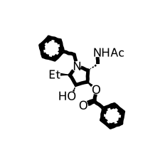 CC[C@@H]1[C@@H](O)[C@H](OC(=O)c2ccccc2)[C@@H](CNC(C)=O)N1Cc1ccccc1